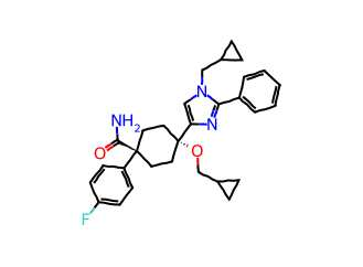 NC(=O)[C@]1(c2ccc(F)cc2)CC[C@](OCC2CC2)(c2cn(CC3CC3)c(-c3ccccc3)n2)CC1